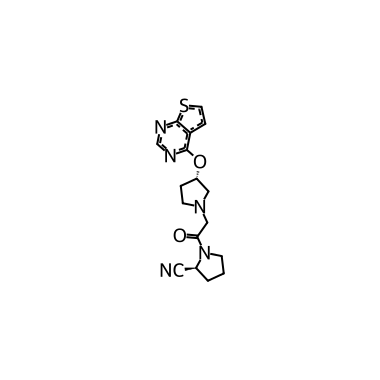 N#C[C@@H]1CCCN1C(=O)CN1CC[C@H](Oc2ncnc3sccc23)C1